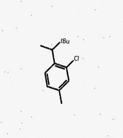 Cc1ccc(C(C)C(C)(C)C)c(Cl)c1